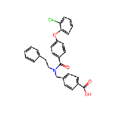 O=C(O)c1ccc(CN(CCc2ccccc2)C(=O)c2ccc(Oc3ccccc3Cl)cc2)cc1